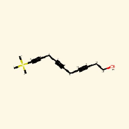 CS(C)(C)C#CCC#CCC#CCCO